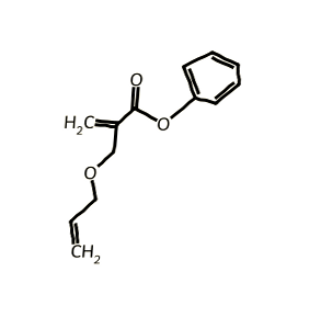 C=CCOCC(=C)C(=O)Oc1ccccc1